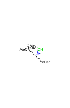 CCCCCCCCCCCCCC(CCC[Si](OC)(OC)OC)N(C)C.Cl